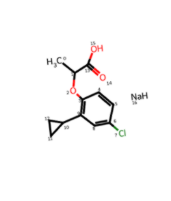 CC(Oc1ccc(Cl)cc1C1CC1)C(=O)O.[NaH]